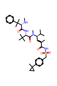 CN[C@H](C(=O)N[C@H](C(=O)N(C)[C@H](/C=C(\C)C(=O)NS(=O)(=O)Cc1ccc(C2(C)CC2)cc1)C(C)C)C(C)(C)C)C(C)(C)c1ccccc1